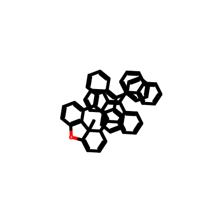 CC12C(=CC=CC1c1c3ccccc3c(-c3cccc4ccccc34)c3ccccc13)Oc1cccc(-c3c4ccccc4c(-c4ccccc4)c4ccccc34)c12